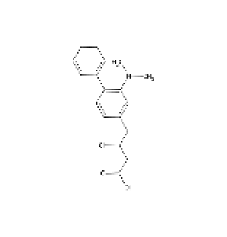 CN(C)c1cc(CC(Cl)CC(=O)O)ccc1-c1ccccc1